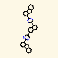 C1=CC2=C(CC1)c1cccc(-c3ncc(-c4cccc5cc(-c6cnc(-c7cccc8c7Cc7ccccc7-8)nc6)ccc45)cn3)c1C2